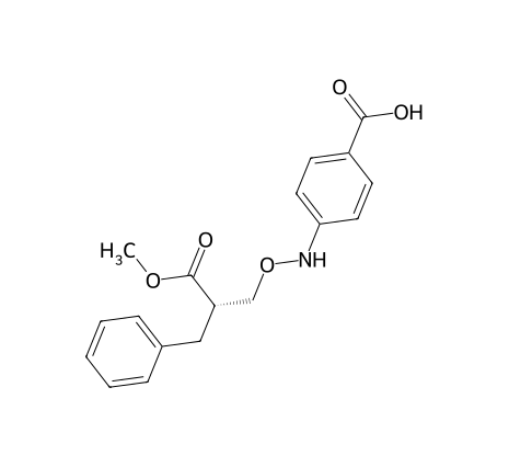 COC(=O)[C@H](CONc1ccc(C(=O)O)cc1)Cc1ccccc1